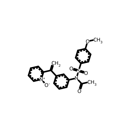 C=C(c1cccc(N(C(C)=O)S(=O)(=O)c2ccc(OC)cc2)c1)c1cccc[n+]1[O-]